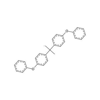 [CH2]C(C)(c1ccc(Oc2ccccc2)cc1)c1ccc(Oc2ccccc2)cc1